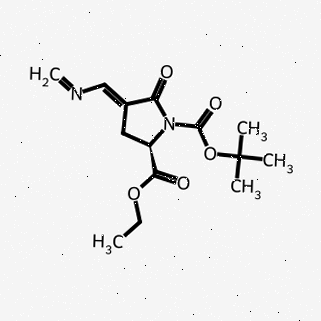 C=N/C=C1\C[C@H](C(=O)OCC)N(C(=O)OC(C)(C)C)C1=O